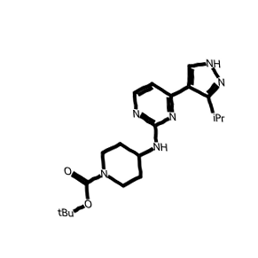 CC(C)c1n[nH]cc1-c1ccnc(NC2CCN(C(=O)OC(C)(C)C)CC2)n1